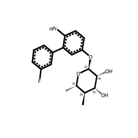 CCCc1ccc(O[C@@H]2O[C@@H](C)[C@H](C)[C@@H](O)[C@H]2O)cc1-c1cccc(F)c1